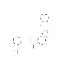 Cn1c(Nc2c(Cl)cc(F)cc2Cl)nc2cc(C(=O)NCc3ncccc3C(F)(F)F)c(OCC(F)(F)F)nc21